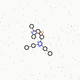 c1ccc(-c2ccc(-c3cc(-c4ccc5oc6ccc7c(-c8ccccc8)nc8ccccc8c7c6c5c4)nc(-c4ccc(-c5ccccc5)cc4)n3)cc2)cc1